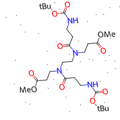 COC(=O)CCN(CCN(CCC(=O)OC)C(=O)CCNC(=O)OC(C)(C)C)C(=O)CCNC(=O)OC(C)(C)C